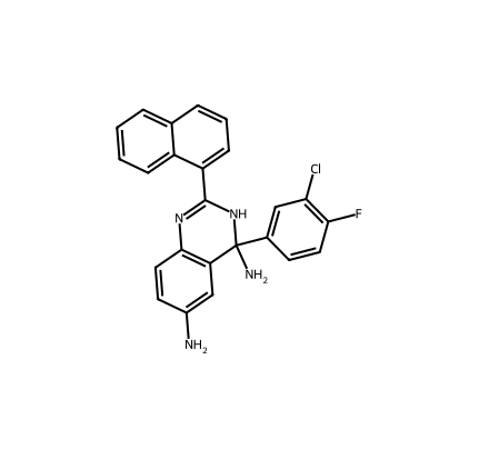 Nc1ccc2c(c1)C(N)(c1ccc(F)c(Cl)c1)NC(c1cccc3ccccc13)=N2